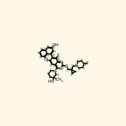 C[C@@]1(O)CCCN(c2nc(OCC3(CN4CCC(F)CC4)CC3)nc3c(F)c(-c4cc(O)cc5cccc(Cl)c45)c(F)cc23)C1